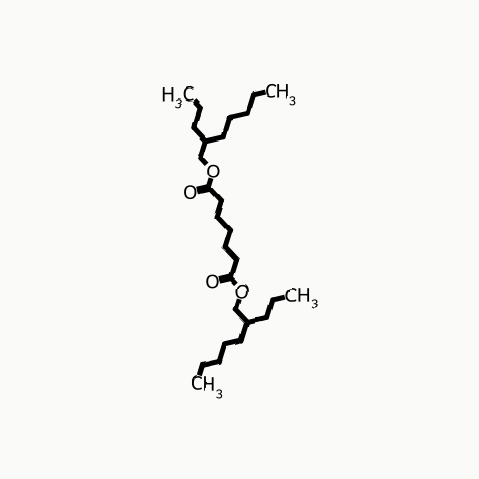 CCCCCC(CCC)COC(=O)CCCCCC(=O)OCC(CCC)CCCCC